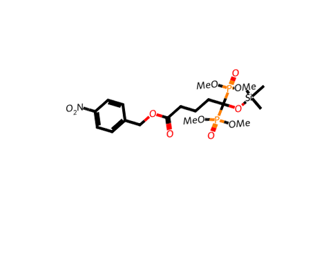 COP(=O)(OC)C(CCCC(=O)OCc1ccc([N+](=O)[O-])cc1)(O[Si](C)(C)C)P(=O)(OC)OC